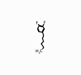 [CH2]CCCCCc1ccc(F)c(F)c1